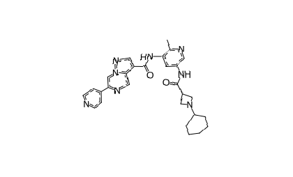 Cc1ncc(NC(=O)C2CN(C3CCCCC3)C2)cc1NC(=O)c1cnn2cc(-c3ccncc3)ncc12